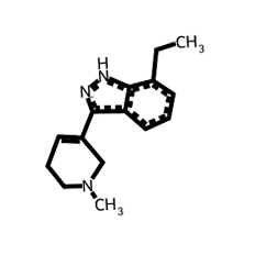 CCc1cccc2c(C3=CCCN(C)C3)n[nH]c12